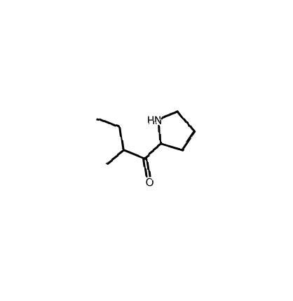 CCC(C)C(=O)C1CCCN1